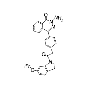 CC(C)Oc1ccc2c(c1)N(C(=O)Cc1ccc(-c3nn(N)c(=O)c4ccccc34)cc1)CC2